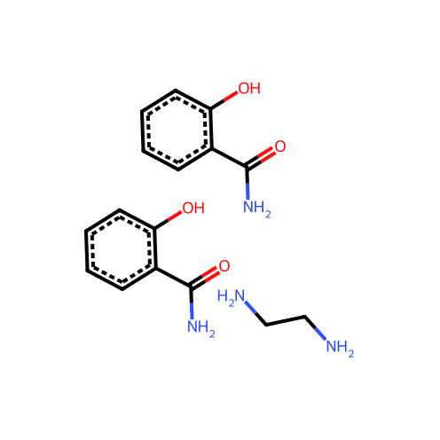 NC(=O)c1ccccc1O.NC(=O)c1ccccc1O.NCCN